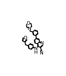 N#Cc1cnc2cc(-c3cccc(CN4CCOCC4)c3)ccc2c1Nc1ccc(Cc2ccoc2)cc1